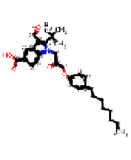 CCCCCCCCc1ccc(OCC(=O)Cn2c(C(C)(C)C)c(C=O)c3cc(C(=O)O)ccc32)cc1